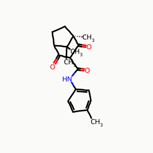 Cc1ccc(NC(=O)C2C(=O)C3CC[C@@](C)(C2=O)C3(C)C)cc1